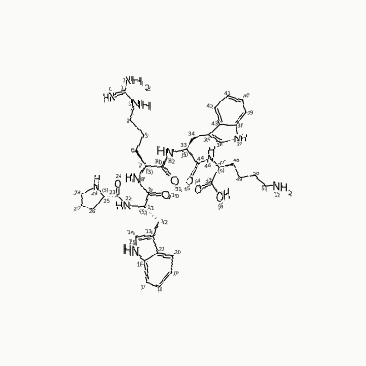 N=C(N)NCCC[C@H](NC(=O)[C@H](Cc1c[nH]c2ccccc12)NC(=O)[C@@H]1CCCN1)C(=O)N[C@@H](Cc1c[nH]c2ccccc12)C(=O)N[C@@H](CCCCN)C(=O)O